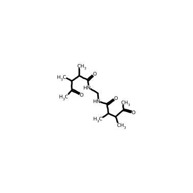 CC(=O)C(C)C(C)C(=O)NCNC(=O)C(C)C(C)C(C)=O